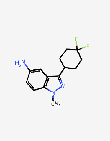 Cn1nc(C2CCC(F)(F)CC2)c2cc(N)ccc21